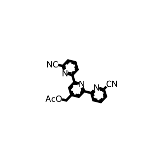 CC(=O)OCc1cc(-c2cccc(C#N)n2)nc(-c2cccc(C#N)n2)c1